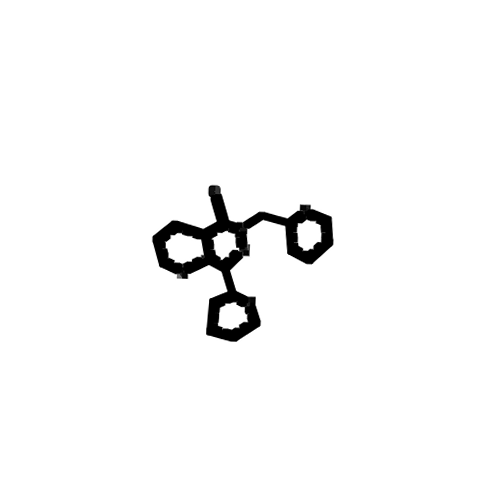 O=c1c2cccnc2c(-c2ccccn2)nn1Cc1ccccn1